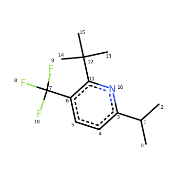 CC(C)c1ccc(C(F)(F)F)c(C(C)(C)C)n1